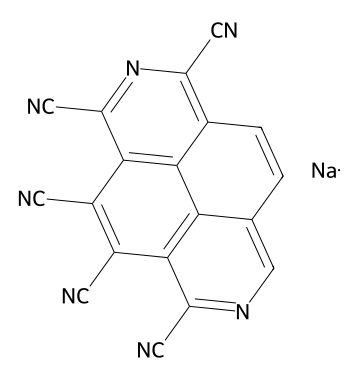 N#Cc1nc(C#N)c2c(C#N)c(C#N)c3c(C#N)ncc4ccc1c2c43.[Na]